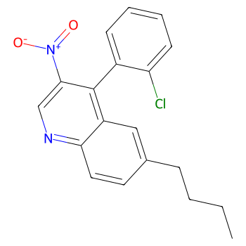 CCCCc1ccc2ncc([N+](=O)[O-])c(-c3ccccc3Cl)c2c1